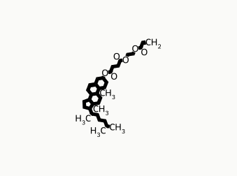 C=CC(=O)OCCOC(=O)CCC(=O)OC1CCC2(C)C(=CCC3C2CCC2(C)C(C(C)CCCC(C)C)CCC32)C1